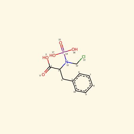 O=C(O)C(Cc1ccccc1)N(CCl)P(=O)(O)O